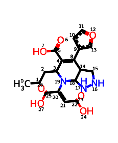 CCCC1C(C(=O)O)=C(c2ccoc2)C2CNNC2N1/C(=C\C(=O)O)C(=O)O